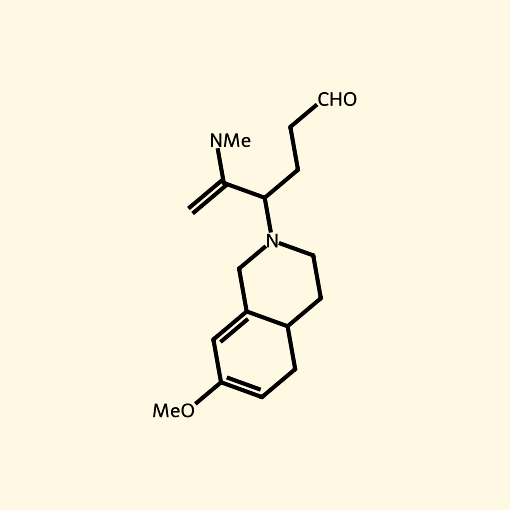 C=C(NC)C(CCC=O)N1CCC2CC=C(OC)C=C2C1